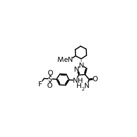 CNC1CCCC[C@@H]1n1cc(C(N)=O)c(Nc2ccc(S(=O)(=O)CF)cc2)n1